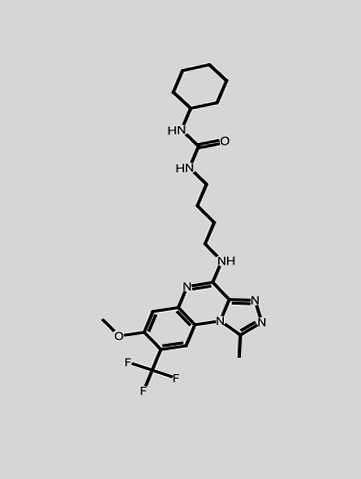 COc1cc2nc(NCCCCNC(=O)NC3CCCCC3)c3nnc(C)n3c2cc1C(F)(F)F